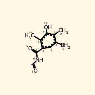 Bc1cc(C(=O)NC=O)c(C)c(O)c1C